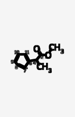 COC(=O)C(C)c1[c]cccc1